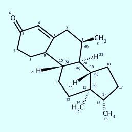 C[C@@H]1CC2=CC(=O)CCC2[C@H]2CC[C@]3(C)[C@@H](C)CC[C@H]3[C@H]12